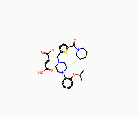 CC(C)Oc1ccccc1N1CCN(Cc2ccc(C(=O)N3CCCCC3)s2)CC1.O=C(O)/C=C/C(=O)O